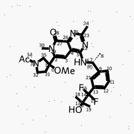 COC1(c2cc3c(N[C@H](C)c4cccc(C(F)(F)C(C)(C)O)c4)nc(C)nc3c(=O)n2C)CCN(C(C)=O)C1